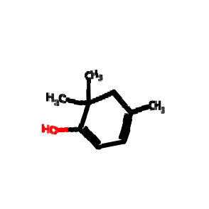 CC1=CC=C(O)C(C)(C)C1